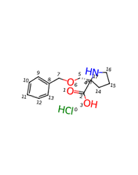 Cl.O=C(O)[C@]1(COCc2ccccc2)CCCN1